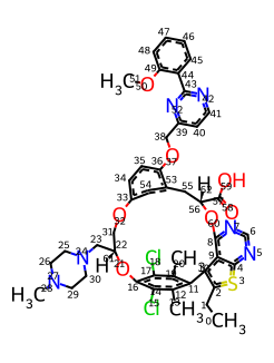 CCc1sc2ncnc3c2c1-c1c(C)c(Cl)c(c(Cl)c1C)O[C@H](CN1CCN(C)CC1)COc1ccc(OCc2ccnc(-c4ccccc4OC)n2)c(c1)C[C@H](C(=O)O)O3